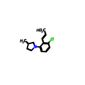 CC1CCN(c2cccc(Cl)c2/C=C/C(=O)O)C1